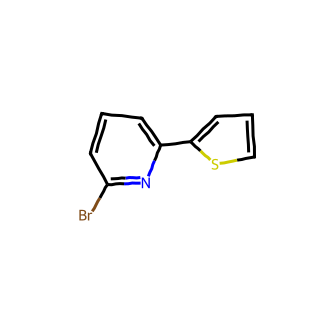 Brc1cccc(-c2cccs2)n1